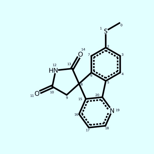 CSc1ccc2c(c1)C1(CC(=O)NC1=O)c1cccnc1-2